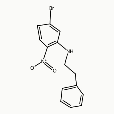 O=[N+]([O-])c1ccc(Br)cc1NCCc1ccccc1